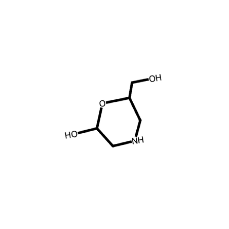 OCC1CNCC(O)O1